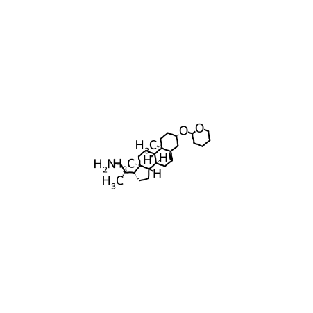 C[C@H](CN)[C@H]1CC[C@H]2[C@@H]3CC=C4C[C@@H](OC5CCCCO5)CC[C@]4(C)[C@H]3CC[C@]12C